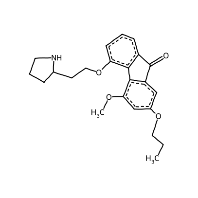 CCCOc1cc(OC)c2c(c1)C(=O)c1cccc(OCCC3CCCN3)c1-2